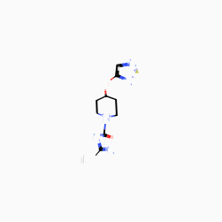 CC(C)c1noc(N2CCC(Oc3cnsn3)CC2)n1